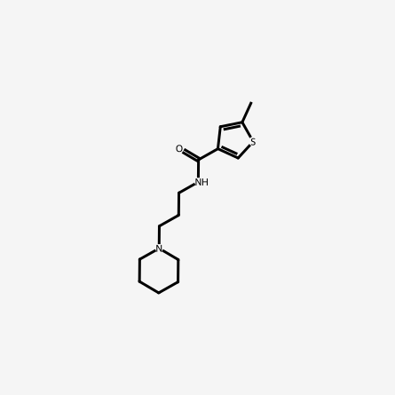 Cc1cc(C(=O)NCCCN2CCCCC2)cs1